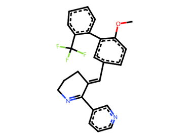 COc1ccc(C=C2CCCN=C2c2cccnc2)cc1-c1ccccc1C(F)(F)F